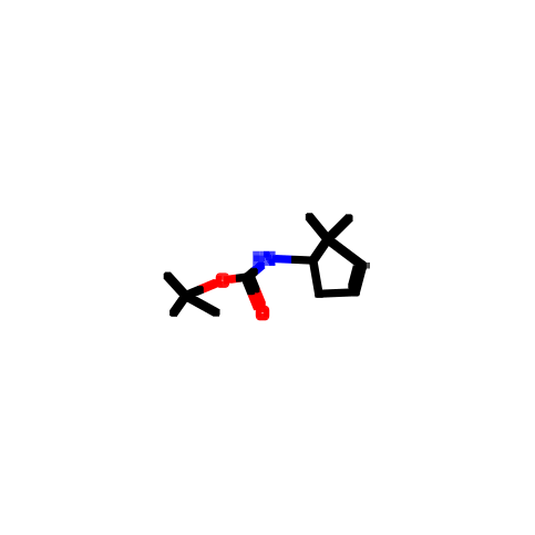 CC(C)(C)OC(=O)NC1CC=[C]C1(C)C